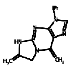 C=C1CN2C(=C)c3ncn(C(C)C)c3N=C2N1